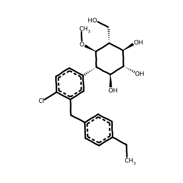 CCc1ccc(Cc2cc([C@H]3[C@H](O)[C@@H](O)[C@H](O)[C@@H](CO)[C@@H]3OC)ccc2Cl)cc1